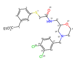 CCOC(=O)Cc1cccc(SCC(=O)NCC2CN(Cc3ccc(Cl)c(Cl)c3)CCO2)c1